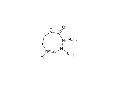 CN1C=[N+]([O-])CCNC(=O)N1C